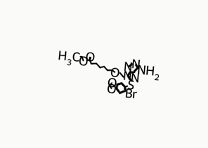 CCOC(=O)CCCCCCOCCn1c(Sc2cc3c(cc2Br)OCO3)nc2c(N)ncnc21